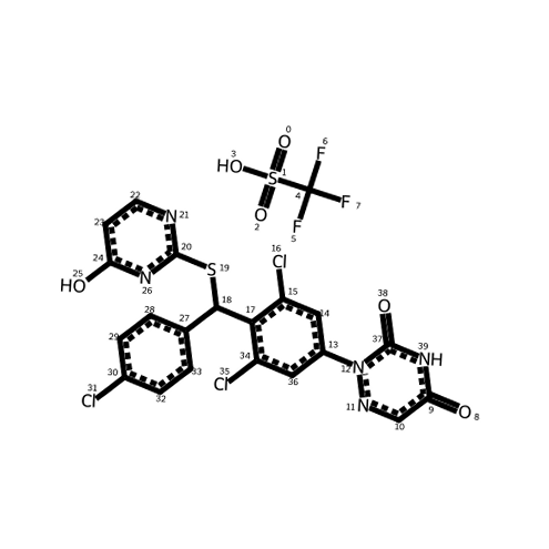 O=S(=O)(O)C(F)(F)F.O=c1cnn(-c2cc(Cl)c(C(Sc3nccc(O)n3)c3ccc(Cl)cc3)c(Cl)c2)c(=O)[nH]1